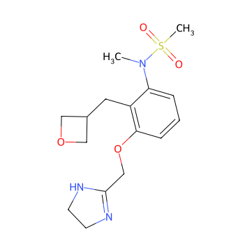 CN(c1cccc(OCC2=NCCN2)c1CC1COC1)S(C)(=O)=O